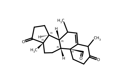 CC1C(=O)CC[C@@]2(C=O)C1=CC(C)[C@@H]1[C@H]2CC[C@]2(C)C(=O)CC[C@@H]12